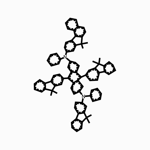 CC1(C)c2ccccc2-c2ccc(-c3c4ccc(N(c5ccccc5)c5ccc6c(c5)C(C)(C)c5ccc7ccccc7c5-6)cc4c(-c4ccc5c(c4)C(C)(C)c4ccccc4-5)c4ccc(N(c5ccccc5)c5ccc6c(c5)C(C)(C)c5ccccc5-6)cc34)cc21